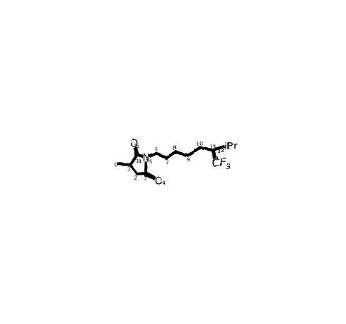 CC1CC(=O)N(CCCCCC(C(C)C)C(F)(F)F)C1=O